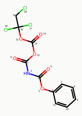 O=C(NC(=O)Oc1ccccc1)OC(=O)OC(Cl)(Cl)CCl